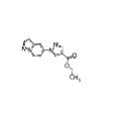 CCOC(=O)c1cnn(-c2ccn3nccc3c2)c1